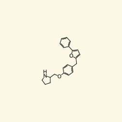 c1ccc(-c2ccc(Cc3ccc(OCC4CCCN4)cc3)o2)cc1